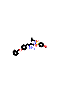 COc1ccc(S(=O)(=O)N(CC[C@@H](N)Cc2ccc(OCc3ccccc3)cc2)CC(C)C)cc1